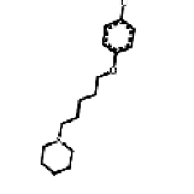 Clc1ccc(OCCCCCN2CC[CH]CC2)cc1